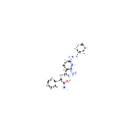 NC(=O)C(=Cc1c[nH]c2nc(NCc3ccccc3)ccc12)c1ccccc1